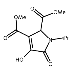 COC(=O)C1=C(O)C(=O)N(C(C)C)C1C(=O)OC